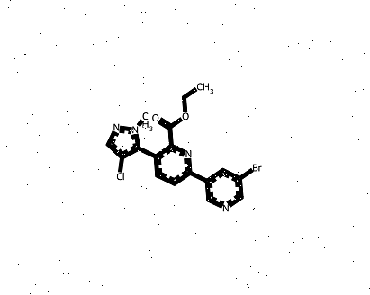 CCOC(=O)c1nc(-c2cncc(Br)c2)ccc1-c1c(Cl)cnn1C